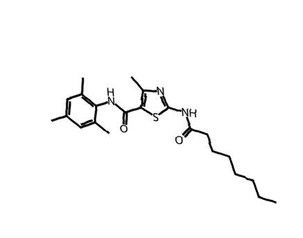 CCCCCCCC(=O)Nc1nc(C)c(C(=O)Nc2c(C)cc(C)cc2C)s1